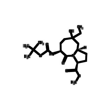 CCC1(O)CC[C@H](NC(=O)OC(C)(C)C)C(=O)N2[C@H](CC[C@H]2C(=O)OC)C1